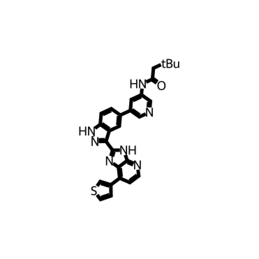 CC(C)(C)CC(=O)Nc1cncc(-c2ccc3[nH]nc(-c4nc5c(-c6ccsc6)ccnc5[nH]4)c3c2)c1